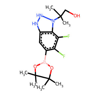 CC(C)(CO)N1NNc2cc(B3OC(C)(C)C(C)(C)O3)c(F)c(F)c21